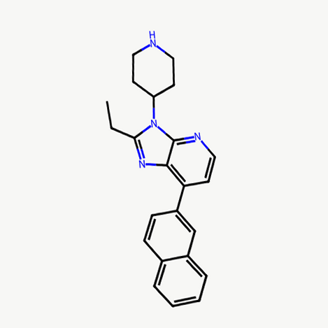 CCc1nc2c(-c3ccc4ccccc4c3)ccnc2n1C1CCNCC1